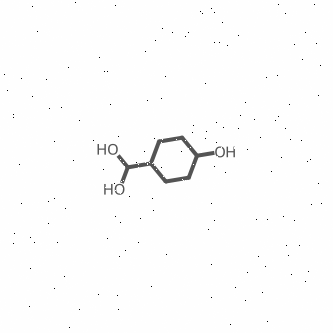 OC1CCC(C(O)O)CC1